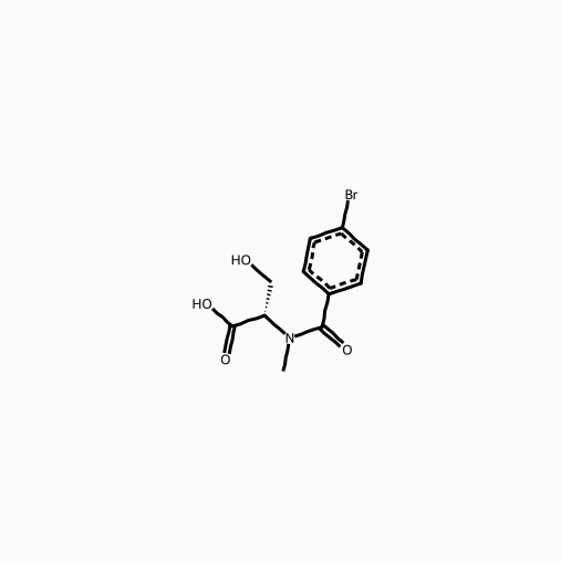 CN(C(=O)c1ccc(Br)cc1)[C@@H](CO)C(=O)O